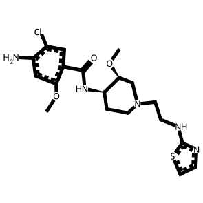 COc1cc(N)c(Cl)cc1C(=O)N[C@@H]1CCN(CCNc2nccs2)C[C@@H]1OC